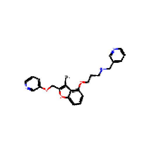 Cc1c(COc2cccnc2)oc2cccc(OCCCNCc3cccnc3)c12